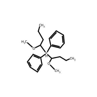 CCCC(OC)[PH](c1ccccc1)(c1ccccc1)C(CCC)OC